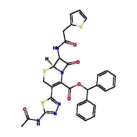 CC(=O)Nc1nnc(C2=C(C(=O)OC(c3ccccc3)c3ccccc3)N3C(=O)C(NC(=O)Cc4cccs4)[C@@H]3SC2)s1